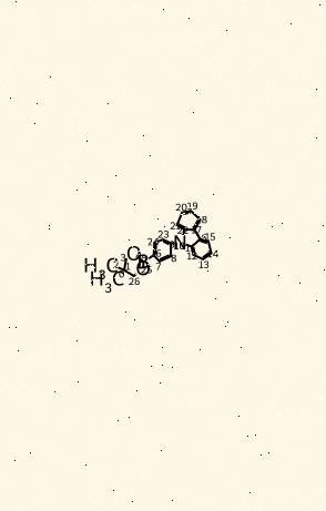 CC1(C)COB(c2ccc(-n3c4ccccc4c4ccccc43)cc2)OC1